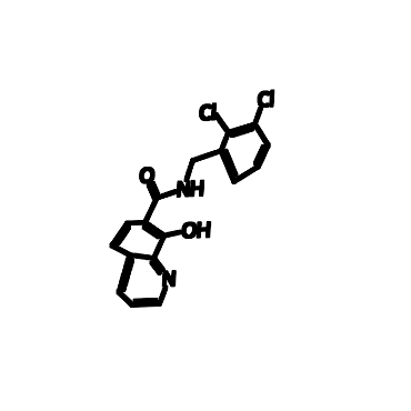 O=C(NCc1cccc(Cl)c1Cl)c1ccc2cccnc2c1O